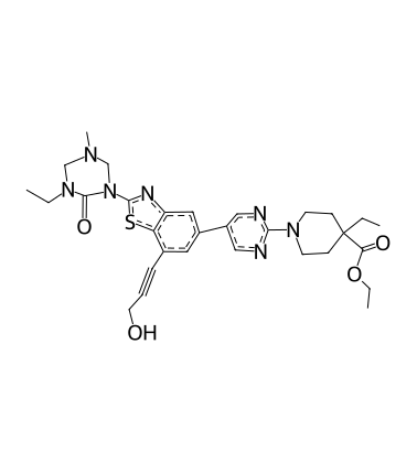 CCOC(=O)C1(CC)CCN(c2ncc(-c3cc(C#CCO)c4sc(N5CN(C)CN(CC)C5=O)nc4c3)cn2)CC1